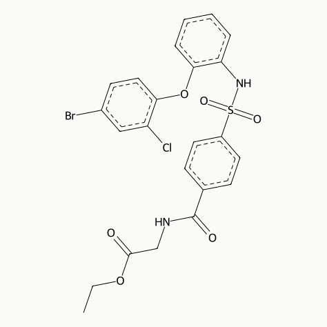 CCOC(=O)CNC(=O)c1ccc(S(=O)(=O)Nc2ccccc2Oc2ccc(Br)cc2Cl)cc1